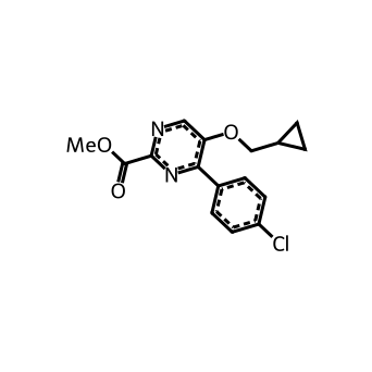 COC(=O)c1ncc(OCC2CC2)c(-c2ccc(Cl)cc2)n1